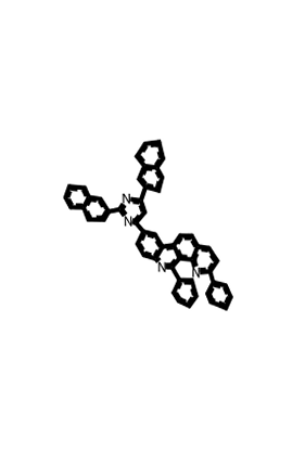 c1ccc(-c2ccc3ccc4c5cc(-c6cc(-c7ccc8ccccc8c7)nc(-c7ccc8ccccc8c7)n6)ccc5nc(-c5ccccc5)c4c3n2)cc1